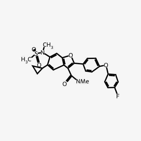 CNC(=O)c1c(-c2ccc(Oc3ccc(F)cc3)cc2)oc2cc(N(C)S(C)(=O)=O)c(C3CC3)cc12